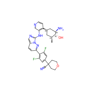 C[C@H]1C[C@@H](c2ccncc2Nc2ncc3ccc(-c4c(F)cc(C5(C#N)CCOCC5)cc4F)nn23)C[C@@H](N)[C@@H]1O